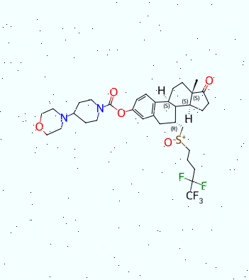 C[C@]12CC[C@@H]3c4ccc(OC(=O)N5CCC(N6CCOCC6)CC5)cc4C[C@@H](C[S+]([O-])CCCC(F)(F)C(F)(F)F)C3[C@@H]1CCC2=O